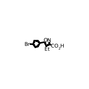 CCc1c(C(=O)O)noc1-c1ccc(Br)cc1